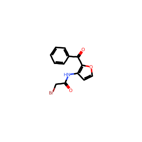 O=C(CBr)Nc1ccoc1C(=O)c1ccccc1